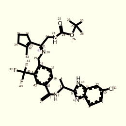 C=C(NC(C)c1nc2ccc(Cl)cc2[nH]1)c1ccc(C/N=C(/CNC(=O)OC(C)(C)C)C2=C(C)CCC2)c(C(F)(F)F)c1